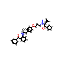 O=C(c1ccccc1)c1ccccc1N[C@@H](Cc1ccc(OCCCNC(C(=O)C2CCCC2)C2CC2)cc1)C(=O)O